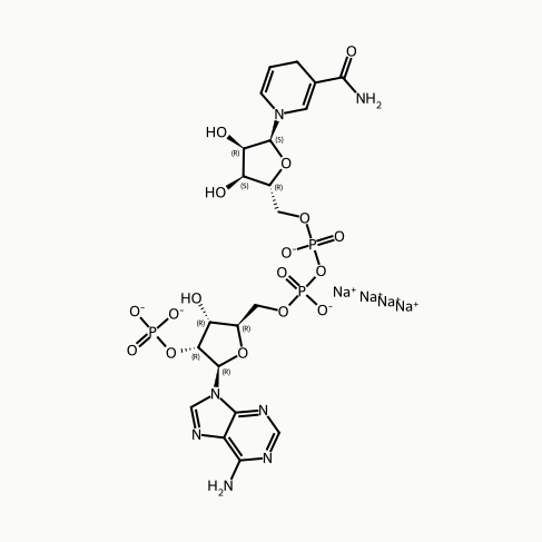 NC(=O)C1=CN([C@H]2O[C@H](COP(=O)([O-])OP(=O)([O-])OC[C@H]3O[C@@H](n4cnc5c(N)ncnc54)[C@H](OP(=O)([O-])[O-])[C@@H]3O)[C@@H](O)[C@H]2O)C=CC1.[Na+].[Na+].[Na+].[Na+]